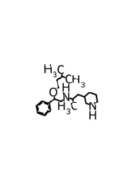 CC(C)CCOC(CNC(C)CC1CCCNC1)c1ccccc1